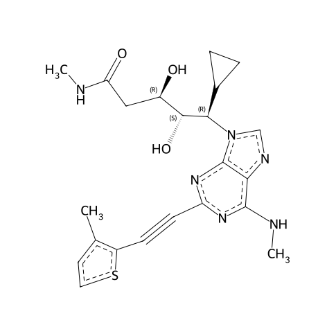 CNC(=O)C[C@@H](O)[C@@H](O)[C@@H](C1CC1)n1cnc2c(NC)nc(C#Cc3sccc3C)nc21